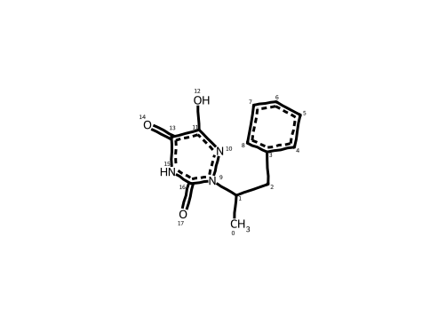 CC(Cc1ccccc1)n1nc(O)c(=O)[nH]c1=O